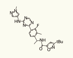 Cc1c(C(C)NC(=O)c2cc(C(C)(C)C)no2)ccc(-c2ncnc(Nc3cnn(C)c3)n2)c1F